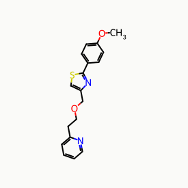 COc1ccc(-c2nc(COCCc3ccccn3)cs2)cc1